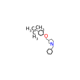 CC(C)(C)c1ccc(OCC2CCN(Cc3ccccc3)C2)cc1